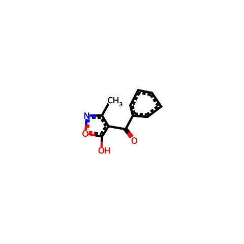 Cc1noc(O)c1C(=O)c1ccccc1